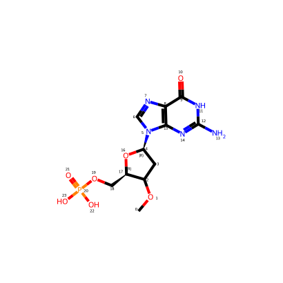 COC1C[C@H](n2cnc3c(=O)[nH]c(N)nc32)O[C@@H]1COP(=O)(O)O